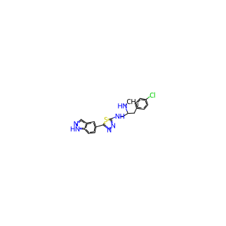 CNC(CNc1nnc(-c2ccc3[nH]ncc3c2)s1)Cc1ccc(Cl)cc1